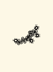 O=[PH](Oc1ccccc1)OC1COC2C(OP(=O)(Oc3ccccc3)OC3COC4C(OP(Oc5ccccc5)Oc5ccccc5)COC34)COC12